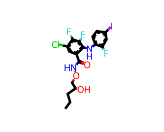 CCCC(O)CONC(=O)c1cc(Cl)c(F)c(F)c1Nc1ccc(I)cc1F